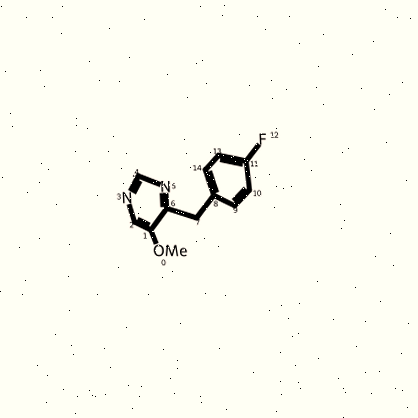 COc1cn[c]nc1Cc1ccc(F)cc1